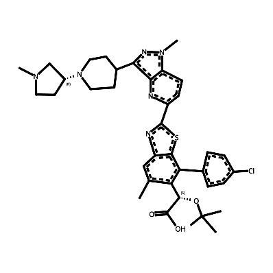 Cc1cc2nc(-c3ccc4c(n3)c(C3CCN([C@@H]5CCN(C)C5)CC3)nn4C)sc2c(-c2ccc(Cl)cc2)c1[C@H](OC(C)(C)C)C(=O)O